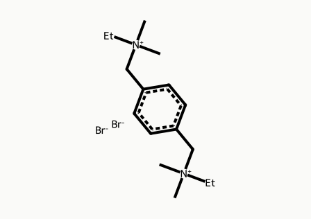 CC[N+](C)(C)Cc1ccc(C[N+](C)(C)CC)cc1.[Br-].[Br-]